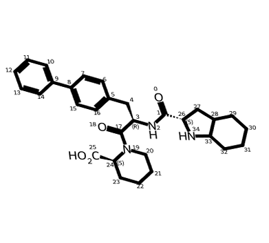 O=C(N[C@H](Cc1ccc(-c2ccccc2)cc1)C(=O)N1CCCC[C@H]1C(=O)O)[C@@H]1CC2CCCCC2N1